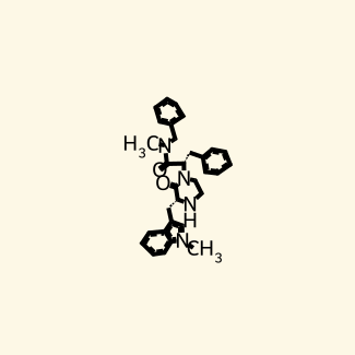 CN(Cc1ccccc1)C(=O)[C@H](Cc1ccccc1)N1CCN[C@H](Cc2cn(C)c3ccccc23)C1=O